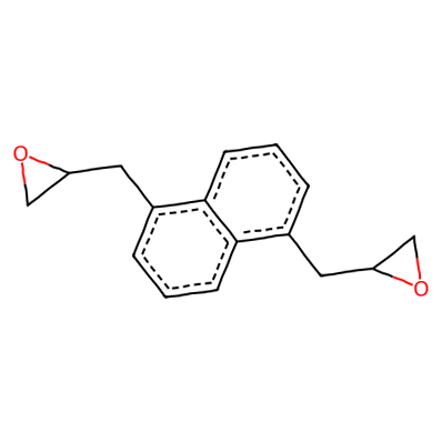 c1cc(CC2CO2)c2cccc(CC3CO3)c2c1